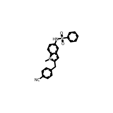 Cn1c(Cc2ccc(C#N)cc2)cc2cc(NS(=O)(=O)c3ccccc3)ccc21